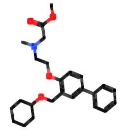 COC(=O)CN(C)CCOc1ccc(-c2ccccc2)cc1COC1CCCCC1